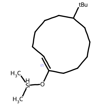 C[SiH](C)O/C1=C\CCCCC(C(C)(C)C)CCCCC1